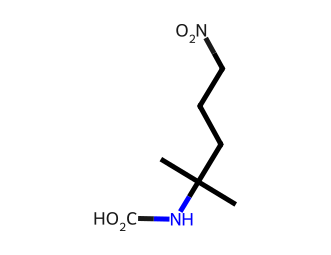 CC(C)(CCC[N+](=O)[O-])NC(=O)O